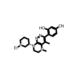 CCN1CCC[C@H](N2CCN(C)c3c2nnc(-c2ccc(C#N)cc2O)c3C)C1